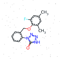 Cc1cc(C)c(OCc2ccccc2-n2nn[nH]c2=O)c(F)c1